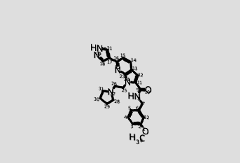 COc1cccc(CNC(=O)c2cc3ccc(-c4cn[nH]c4)nc3n2CCN2CCCC2)c1